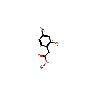 COC(=O)Cc1ccc(C)cc1S